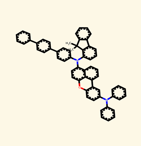 CC1(C)c2ccccc2-c2cccc(N(c3ccc(-c4ccc(-c5ccccc5)cc4)cc3)c3ccc4c5c(cccc35)-c3cc(N(c5ccccc5)c5ccccc5)ccc3O4)c21